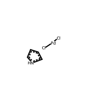 [Cl][Pd][Cl].c1cc[nH]c1